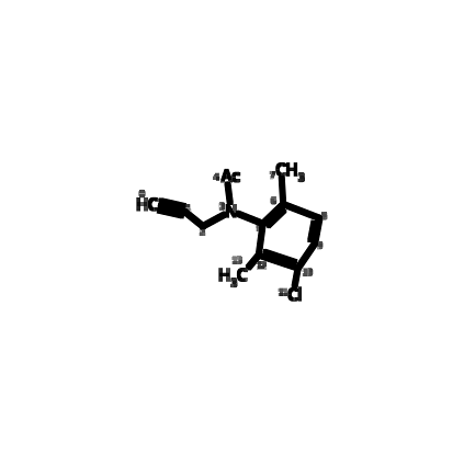 C#CCN(C(C)=O)c1c(C)ccc(Cl)c1C